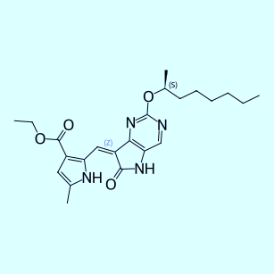 CCCCCC[C@H](C)Oc1ncc2c(n1)/C(=C/c1[nH]c(C)cc1C(=O)OCC)C(=O)N2